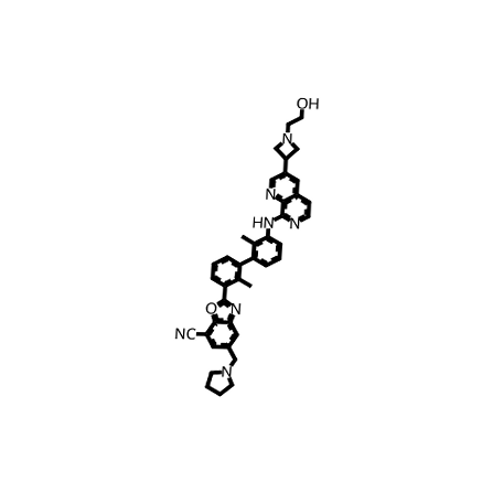 Cc1c(Nc2nccc3cc(C4CN(CCO)C4)cnc23)cccc1-c1cccc(-c2nc3cc(CN4CCCC4)cc(C#N)c3o2)c1C